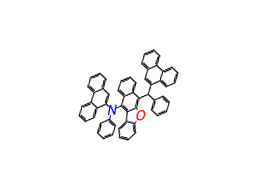 c1ccc(C(c2cc3ccccc3c3ccccc23)c2c3ccccc3c(N(c3ccccc3)c3cc4ccccc4c4ccccc34)c3c2oc2ccccc23)cc1